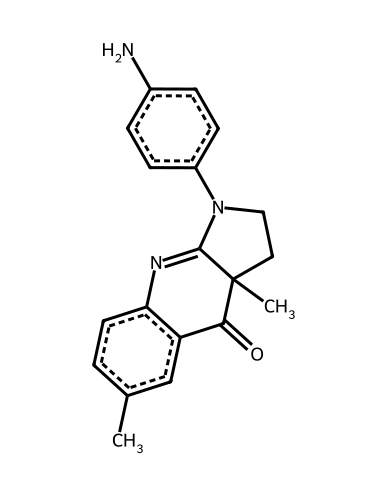 Cc1ccc2c(c1)C(=O)C1(C)CCN(c3ccc(N)cc3)C1=N2